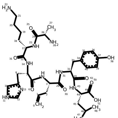 C=CC[C@H](NC(=O)[C@H](Cc1c[nH]cn1)NC(=O)[C@H](CCCCN)NC(=O)[C@H](C)N)C(=O)N[C@@H](Cc1ccc(O)cc1)C(=O)N[C@@H](CC(C)C)C(=O)O